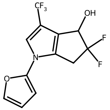 OC1c2c(C(F)(F)F)cn(-c3ccco3)c2CC1(F)F